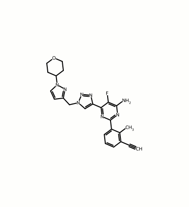 C#Cc1cccc(-c2nc(N)c(F)c(-c3cn(Cc4ccn(C5CCOCC5)n4)nn3)n2)c1C